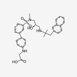 CN(C[C@H](O)CNC(C)(C)Cc1ccc2ccccc2c1)S(=O)(=O)c1cccc(-c2ccc(NCC(=O)O)cc2)c1